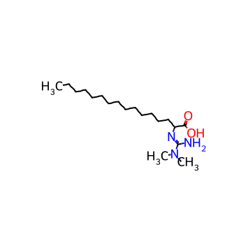 CCCCCCCCCCCCCCC(N=C(N)N(C)C)C(=O)O